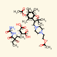 CC(=O)OCCN1CCN(CC2c3c(C)c(OC(C)=O)c(C)c(C)c3OC2(C)C)CC1.CCC(Br)(CC)C(=O)NC(N)=O.O=C(O)/C=C\C(=O)O